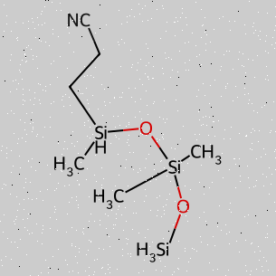 C[SiH](CCC#N)O[Si](C)(C)O[SiH3]